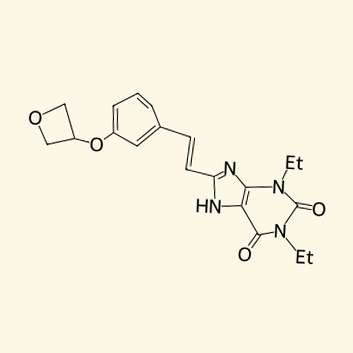 CCn1c(=O)c2[nH]c(C=Cc3cccc(OC4COC4)c3)nc2n(CC)c1=O